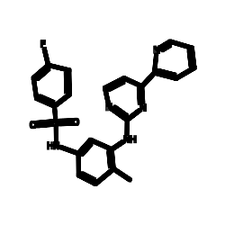 Cc1ccc(NS(=O)(=O)c2ccc(F)cc2)cc1Nc1nccc(-c2ccccn2)n1